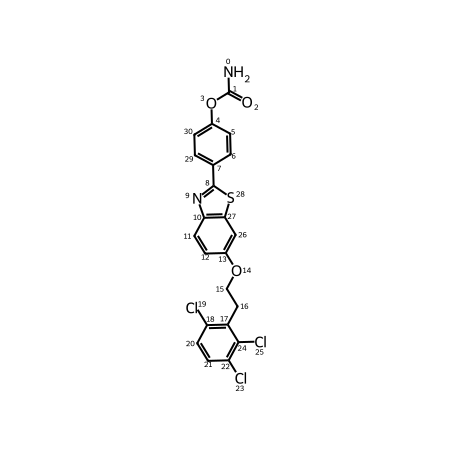 NC(=O)Oc1ccc(-c2nc3ccc(OCCc4c(Cl)ccc(Cl)c4Cl)cc3s2)cc1